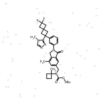 CCCCOC(=O)N(Cc1cc2c(c(C(F)(F)F)c1)CN(c1cccc(C3(c4nncn4C)CC4(CC(F)(F)C4)C3)c1)C2=O)C1(C)CCC1